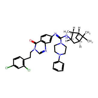 C[C@H]1[C@@H](NC(=Nc2ccc3c(=O)n(CCc4ccc(Cl)cc4Cl)cnc3c2)N2CCN(c3ccccc3)CC2)C[C@H]2C[C@H]1C2(C)C